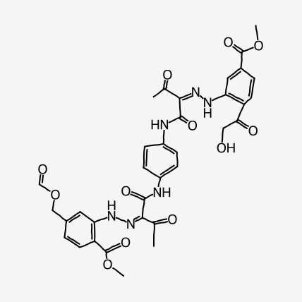 COC(=O)c1ccc(C(=O)CO)c(N/N=C(/C(C)=O)C(=O)Nc2ccc(NC(=O)/C(=N\Nc3cc(COC=O)ccc3C(=O)OC)C(C)=O)cc2)c1